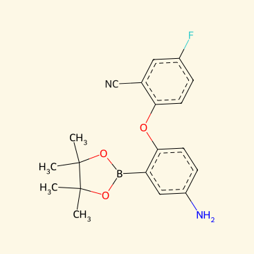 CC1(C)OB(c2cc(N)ccc2Oc2ccc(F)cc2C#N)OC1(C)C